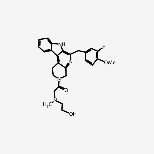 COc1ccc(Cc2nc3c(c4c2[nH]c2ccccc24)CCN(C(=O)CN(C)CCO)C3)cc1F